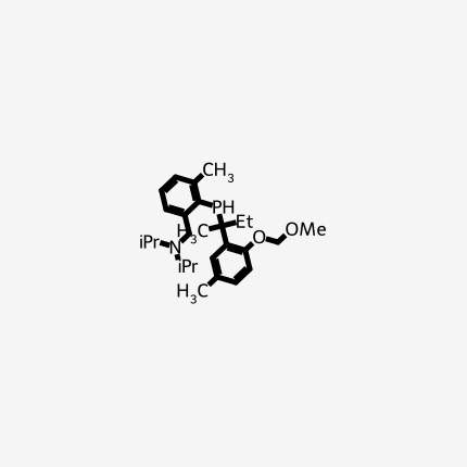 CCC(C)(Pc1c(C)cccc1CN(C(C)C)C(C)C)c1cc(C)ccc1OCOC